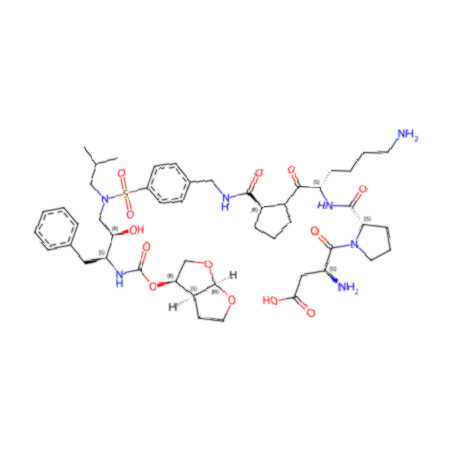 CC(C)CN(C[C@@H](O)[C@H](Cc1ccccc1)NC(=O)O[C@H]1CO[C@H]2OCC[C@H]21)S(=O)(=O)c1ccc(CNC(=O)[C@@H]2CCCC2C(=O)[C@H](CCCCN)NC(=O)[C@@H]2CCCN2C(=O)[C@@H](N)CC(=O)O)cc1